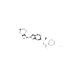 CO[C@H]1CC[C@H](C(=O)N(CCO)c2ccc3cc(-c4n[nH]c5c4CCC(C)(C)C5)[nH]c3c2)CC1